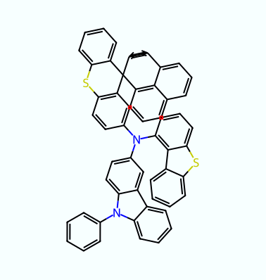 c1ccc(-n2c3ccccc3c3cc(N(c4ccc5c(c4)C4(c6ccccc6S5)c5ccccc5-c5cccc6cccc4c56)c4cccc5sc6ccccc6c45)ccc32)cc1